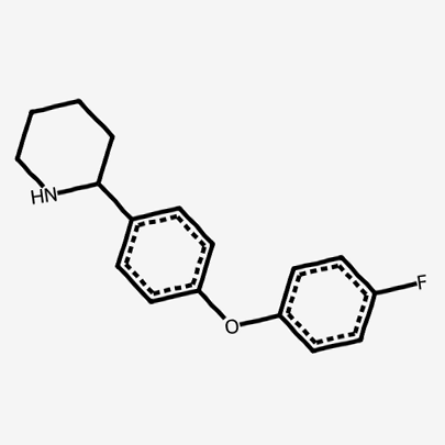 Fc1ccc(Oc2ccc(C3CCCCN3)cc2)cc1